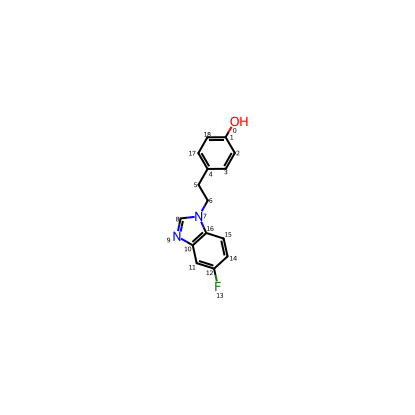 Oc1ccc(CCn2cnc3cc(F)ccc32)cc1